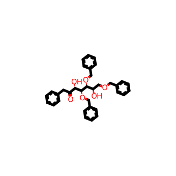 O=C(Cc1ccccc1)[C@H](O)[C@@H](OCc1ccccc1)[C@H](OCc1ccccc1)[C@H](O)COCc1ccccc1